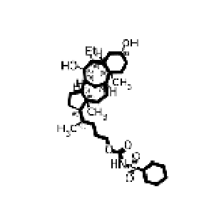 CC[C@H]1[C@@H](O)[C@@H]2C[C@H](CC[C@]3(C)[C@@H]([C@H](C)CCCOC(=O)NS(=O)(=O)C4CCCCC4)CC[C@@H]23)[C@@]2(C)CC[C@@H](O)C[C@@H]12